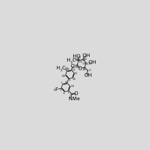 CNC(=O)c1cc(F)cc(-c2ccc(O[C@H]3O[C@H](CO)[C@@H](O)[C@H](O)[C@@]3(C)O)c(C)c2)c1